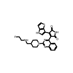 O=C1NC(=O)C(c2c[nH]c3ccsc23)=C1c1nc(N2CCC(CNCCF)CC2)nc2ccccc12